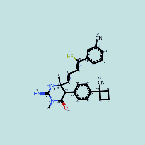 CN1C(=N)N[C@](C)(/C=C/C=C(\S)c2cccc(C#N)c2)C(c2ccc(C3(C#N)CCC3)cc2)C1=O